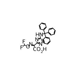 O=C(O)C(=NOC(F)F)c1nsc(NC(c2ccccc2)(c2ccccc2)c2ccccc2)n1